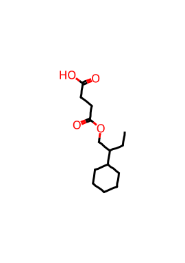 CCC(COC(=O)CCC(=O)O)C1CCCCC1